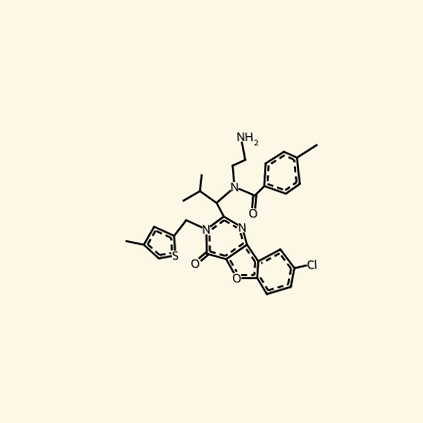 Cc1ccc(C(=O)N(CCN)C(c2nc3c(oc4ccc(Cl)cc43)c(=O)n2Cc2cc(C)cs2)C(C)C)cc1